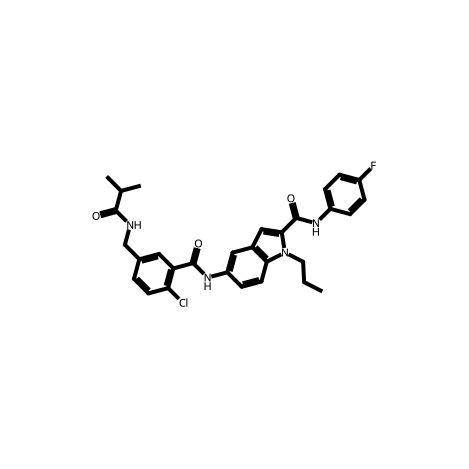 CCCn1c(C(=O)Nc2ccc(F)cc2)cc2cc(NC(=O)c3cc(CNC(=O)C(C)C)ccc3Cl)ccc21